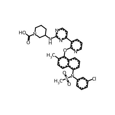 Cc1ccc2c(N(c3cccc(Cl)c3)S(C)(=O)=O)cccc2c1Oc1ncccc1-c1ccnc(NC2CCCN(C(=O)O)C2)n1